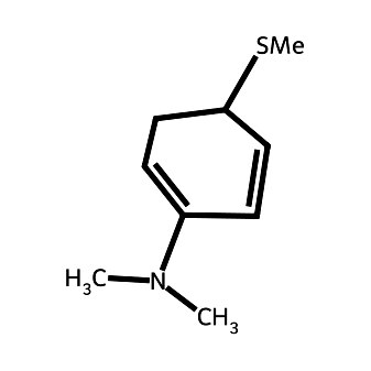 CSC1C=CC(N(C)C)=CC1